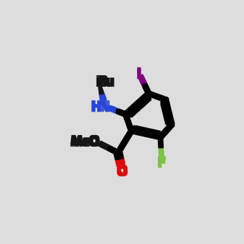 CC[C@H](C)Nc1c(I)ccc(F)c1C(=O)OC